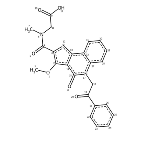 COc1c(C(=O)N(C)CC(=O)O)sc2c1c(=O)n(CC(=O)c1ccccc1)c1ccccc21